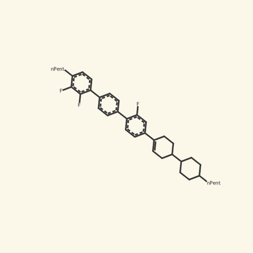 CCCCCc1ccc(-c2ccc(-c3ccc(C4=CCC(C5CCC(CCCCC)CC5)CC4)cc3F)cc2)c(F)c1F